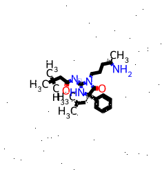 CC(C)C[C@]1(c2ccccc2)N/C(=N\C(=O)CC(C)(C)C)N(CCC[C@H](C)N)C1=O